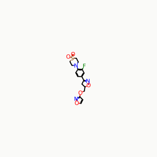 O=S1(=O)CCN(c2ccc(C3=NOC(COc4ccon4)C3)cc2F)CC1